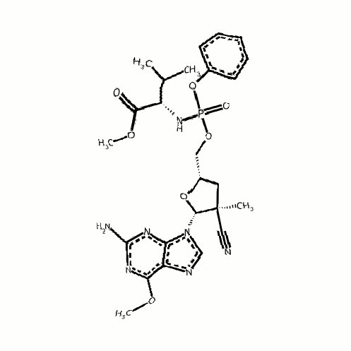 COC(=O)[C@@H](NP(=O)(OC[C@@H]1C[C@@](C)(C#N)[C@H](n2cnc3c(OC)nc(N)nc32)O1)Oc1ccccc1)C(C)C